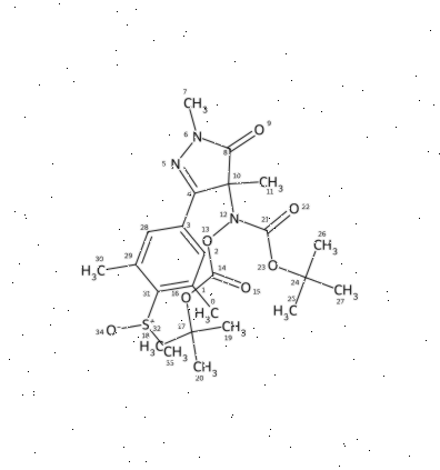 Cc1cc(C2=NN(C)C(=O)C2(C)N(OC(=O)OC(C)(C)C)C(=O)OC(C)(C)C)cc(C)c1[S+](C)[O-]